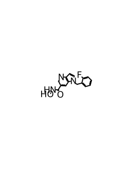 O=C(NO)c1cnc2ccn(Cc3ccccc3F)c2c1